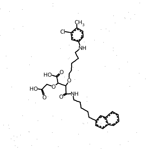 Cc1ccc(NCCCCCOC(C(=O)NCCCCCc2ccc3ccccc3c2)C(OCC(=O)O)C(=O)O)cc1Cl